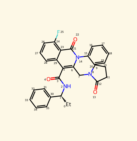 CC[C@H](NC(=O)c1c(CN2CCCC2=O)n(-c2ccccc2)c(=O)c2c(F)cccc12)c1ccccc1